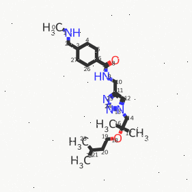 CNCC1CCC(C(=O)NCc2cn(CC(C)(C)OCCC(C)C)nn2)CC1